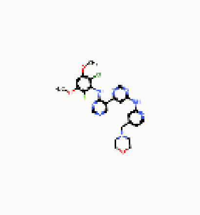 COc1cc(OC)c(Cl)c(Nc2ncncc2-c2cc(Nc3cc(CN4CCOCC4)ccn3)ncn2)c1F